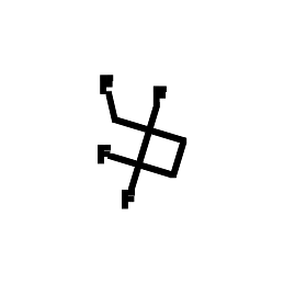 FCC1(F)CCC1(F)F